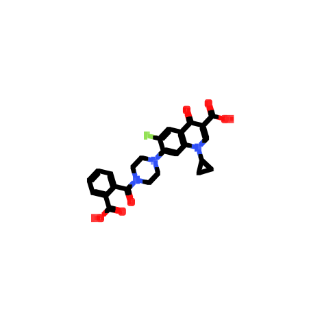 O=C(O)c1ccccc1C(=O)N1CCN(c2cc3c(cc2F)c(=O)c(C(=O)O)cn3C2CC2)CC1